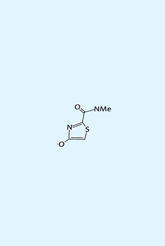 CNC(=O)c1nc([O])cs1